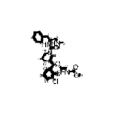 CNC[C@H](CC1CCCCC1)NC(=O)N1CCC[C@@H]([C@@H](OCCNC(=O)OC)c2cccc(Cl)c2F)C1